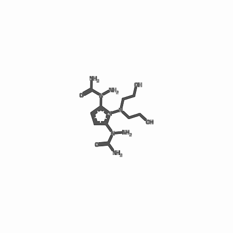 NC(=O)N(N)c1ccc(N(N)C(N)=O)n1N(CCO)CCO